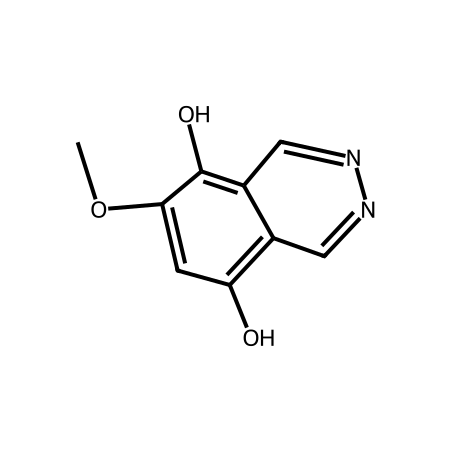 COc1cc(O)c2cnncc2c1O